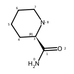 NC(=O)[C@H]1CCCC[N]1